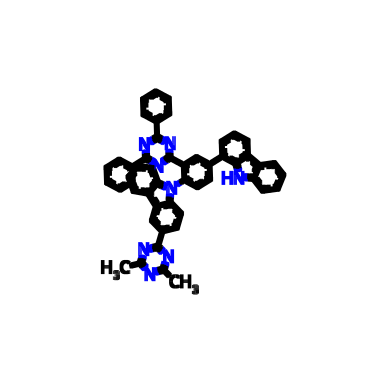 Cc1nc(C)nc(-c2ccc3c(c2)c2ccccc2n3-c2ccc(-c3cccc4c3[nH]c3ccccc34)cc2-c2nc(-c3ccccc3)nc(-c3ccccc3)n2)n1